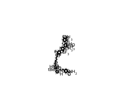 CN(C(=S)N(c1cnc(-c2cc(F)c(OCCCCOCC(=O)NC(C(=O)N3CCC[C@H]3C(=O)NCc3ccc(C(N)=O)cc3)C(C)(C)C)c(F)c2)c(C(F)(F)F)c1)C(C)(C)C=O)c1ccc(C#N)c(C(F)(F)F)c1F